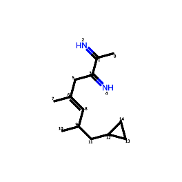 CC(=N)C(=N)C/C(C)=C/C(C)CC1CC1